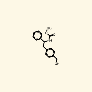 CC(C)(C)OC(=O)NC(Cc1ccc(CO)cc1)c1ccccc1